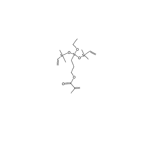 C=C[Si](C)(C)O[Si](CCCOC(=O)C(=C)C)(OCC)O[Si](C)(C)C=C